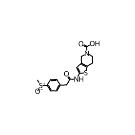 C[S+]([O-])c1ccc(CC(=O)Nc2cc3c(s2)CCN(C(=O)O)C3)cc1